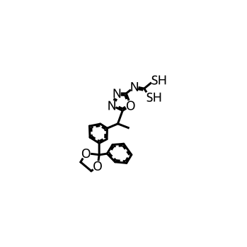 CC(c1cccc(C2(c3ccccc3)OCCO2)c1)c1nnc(N=C(S)S)o1